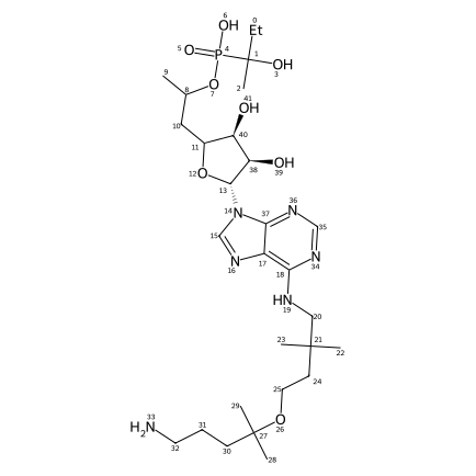 CCC(C)(O)P(=O)(O)OC(C)CC1O[C@@H](n2cnc3c(NCC(C)(C)CCOC(C)(C)CCCN)ncnc32)[C@H](O)[C@@H]1O